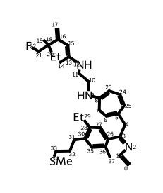 C=C/N=C(/CC1=CCC(NCCN/C(C)=C/C(=C)C(C)(CC)CF)=CC=C1)c1cc(CC)c(CCCSC)cc1C